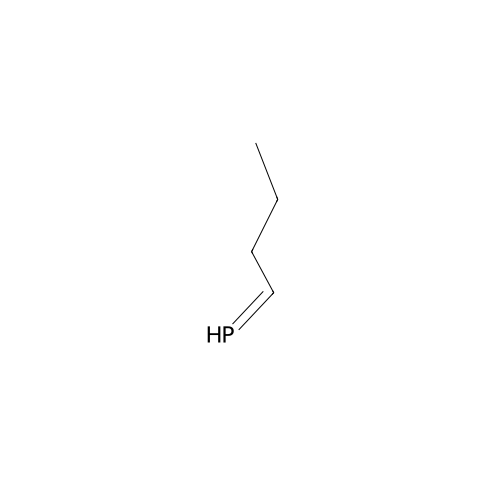 CCCC=P